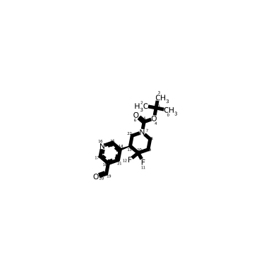 CC(C)(C)OC(=O)N1CCC(F)(F)[C@@H](c2cncc(C=O)c2)C1